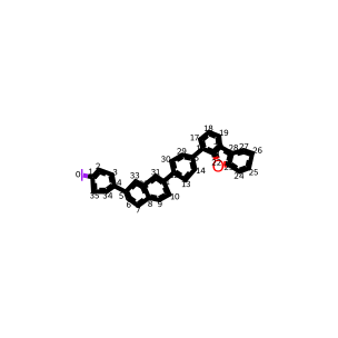 Ic1ccc(-c2ccc3ccc(-c4ccc(-c5cccc6c5oc5ccccc56)cc4)cc3c2)cc1